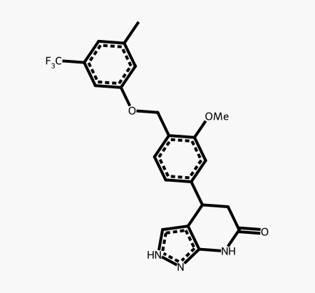 COc1cc(C2CC(=O)Nc3n[nH]cc32)ccc1COc1cc(C)cc(C(F)(F)F)c1